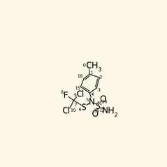 Cc1ccc(N(SC(F)(Cl)Cl)S(N)(=O)=O)cc1